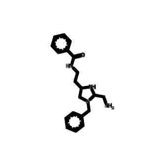 NCC1NC(CCNC(=O)c2ccccc2)CN1Cc1ccccc1